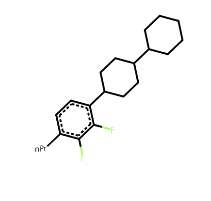 CCCc1ccc(C2CCC(C3CCCCC3)CC2)c(F)c1F